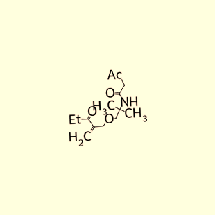 C=C(COCC(C)(C)NC(=O)CC(C)=O)C(=O)CC